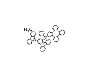 Cc1ccc2c(c1)c1ccccc1n2-c1cc([Si](c2ccccc2)(c2ccccc2)c2ccc3c(c2)-c2ccccc2-c2ccccc2-c2ccccc2-3)c2oc3ccccc3c2c1